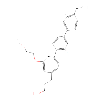 CCc1ccc(-c2ccc(C3=CC=C(CCCO)C=C(OCCOC)C3)c(F)c2)cc1